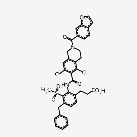 CS(=O)(=O)c1c(Cc2ccccc2)ccc(CCC(=O)O)c1NC(=O)c1c(Cl)cc2c(c1Cl)CCN(C(=O)c1ccc3ccoc3c1)C2